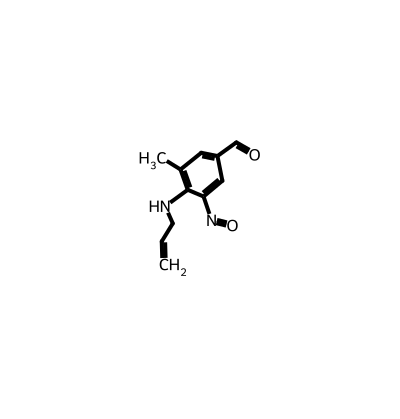 C=CCNc1c(C)cc(C=O)cc1N=O